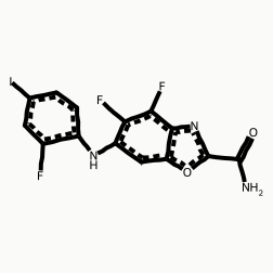 NC(=O)c1nc2c(F)c(F)c(Nc3ccc(I)cc3F)[c]c2o1